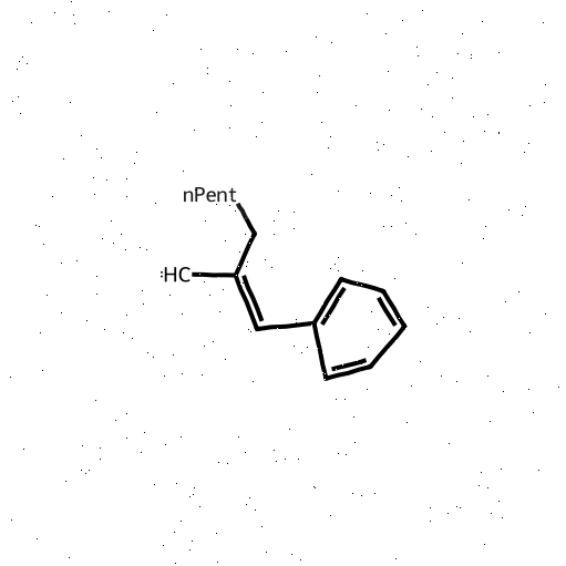 [CH]C(=Cc1ccccc1)CCCCCC